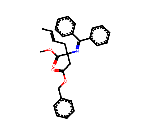 C/C=C/CC(CC(=O)OCc1ccccc1)(N=C(c1ccccc1)c1ccccc1)C(=O)OC